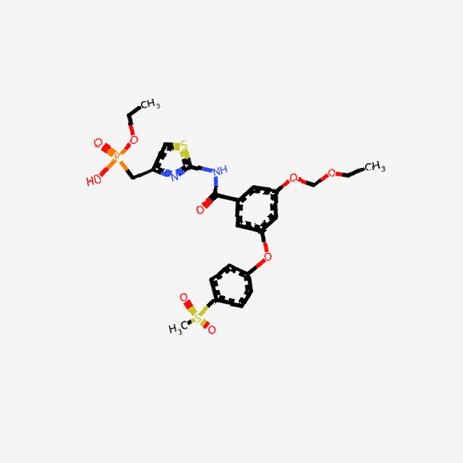 CCOCOc1cc(Oc2ccc(S(C)(=O)=O)cc2)cc(C(=O)Nc2nc(CP(=O)(O)OCC)cs2)c1